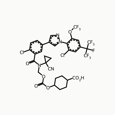 N#CC1(N(COC(=O)OC2CCC(C(=O)O)CC2)C(=O)c2cc(-c3cnn(-c4c(Cl)cc(C(F)(C(F)(F)F)C(F)(F)F)cc4OC(F)(F)F)c3)ccc2Cl)CC1